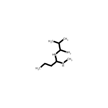 CCCC(NC)NC(N)C(C)C